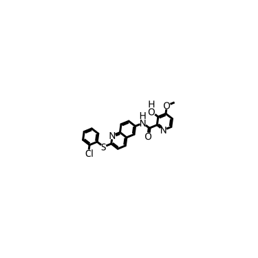 COc1ccnc(C(=O)Nc2ccc3nc(Sc4ccccc4Cl)ccc3c2)c1O